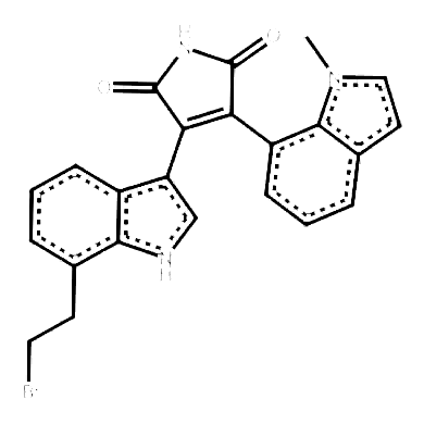 Cn1ccc2cccc(C3=C(c4c[nH]c5c(CCBr)cccc45)C(=O)NC3=O)c21